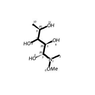 CON(C)[C@H](O)[C@H](O)C(O)[C@@H](C)O